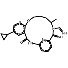 CC1CCCOc2ncc(C3CC3)cc2C(=O)Nc2cccc(n2)C(=N)N1C=N